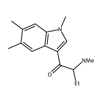 CCC(NC)C(=O)c1cn(C)c2cc(C)c(C)cc12